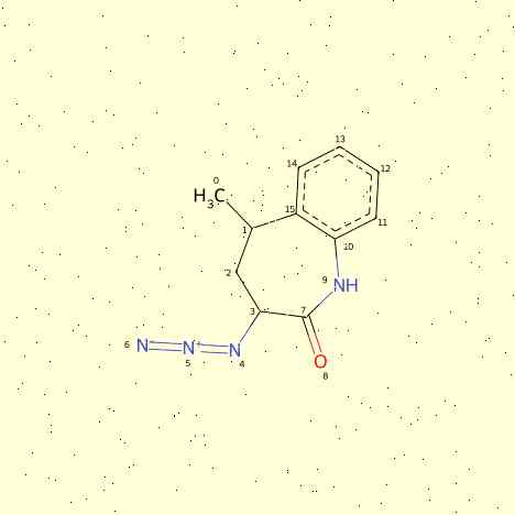 CC1CC(N=[N+]=[N-])C(=O)Nc2ccccc21